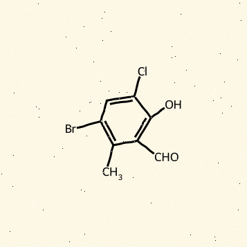 Cc1c(Br)cc(Cl)c(O)c1C=O